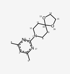 Cc1cc(C)nc(N2CCC3(CC2)OCCO3)n1